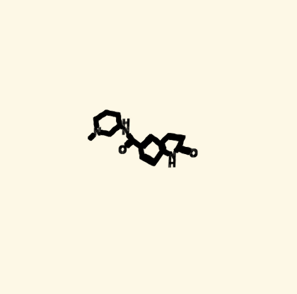 CN1CCC[C@@H](NC(=O)c2ccc3[nH]c(=O)ccc3c2)C1